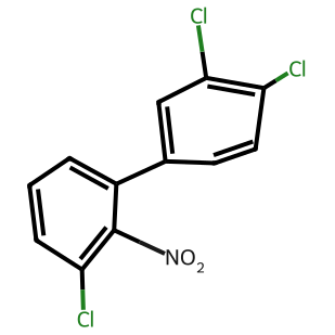 O=[N+]([O-])c1c(Cl)cccc1-c1ccc(Cl)c(Cl)c1